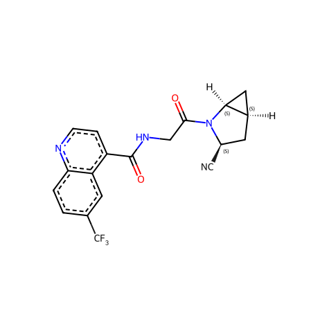 N#C[C@@H]1C[C@@H]2C[C@@H]2N1C(=O)CNC(=O)c1ccnc2ccc(C(F)(F)F)cc12